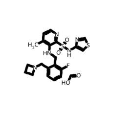 Cc1ccnc(S(=O)(=O)Nc2cscn2)c1NCc1c(F)cccc1CN1CCC1.O=CO